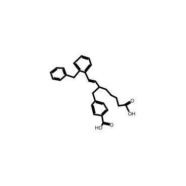 O=C(O)CCCCC(C=Cc1ccccc1Cc1ccccc1)Cc1ccc(C(=O)O)cc1